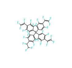 FC(F)=C(F)c1c(F)cc([B-](c2c(F)c(F)c(C(F)=C(F)F)c(F)c2F)(c2c(F)c(F)c(C(F)=C(F)F)c(F)c2F)c2c(F)c(F)c(C(F)C(F)F)c(F)c2F)c(F)c1F